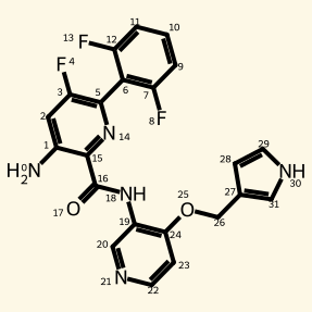 Nc1cc(F)c(-c2c(F)cccc2F)nc1C(=O)Nc1cnccc1OCc1cc[nH]c1